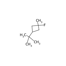 CC1(F)CC(C(C)(C)C)C1